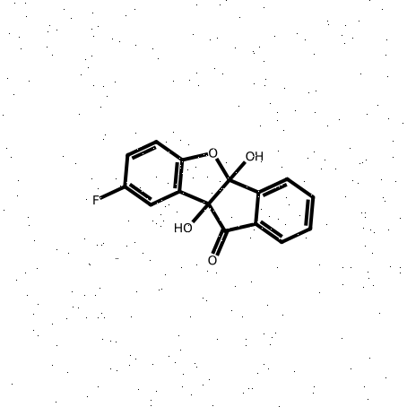 O=C1c2ccccc2C2(O)Oc3ccc(F)cc3C12O